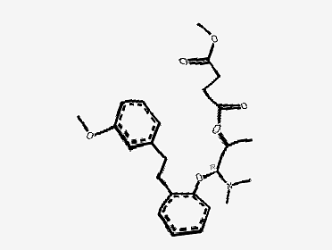 COC(=O)CCC(=O)OC(C)[C@H](Oc1ccccc1CCc1cccc(OC)c1)N(C)C